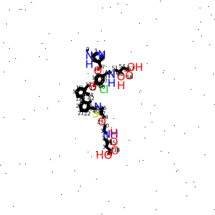 CNc1cncc(COc2cc(OCc3cccc(-c4cccc(-c5ncc(COCCNC[C@@H](O)CC(=O)O)s5)c4C)c3C)c(Cl)cc2CNC[C@@H](O)CC(=O)O)c1